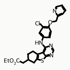 CCOC(=O)CC1CCc2c(sc3ncnc(Nc4ccc(OCc5ccccn5)c(Cl)c4)c23)C1